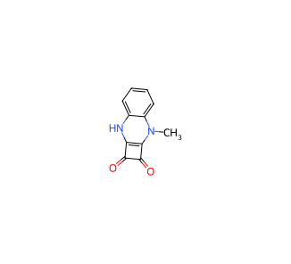 CN1c2ccccc2Nc2c1c(=O)c2=O